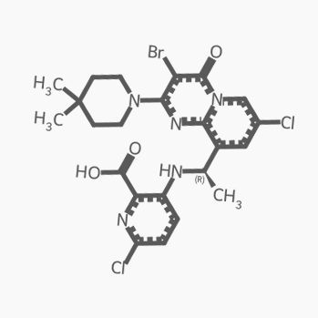 C[C@@H](Nc1ccc(Cl)nc1C(=O)O)c1cc(Cl)cn2c(=O)c(Br)c(N3CCC(C)(C)CC3)nc12